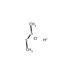 CSSC.[Cl-].[H+]